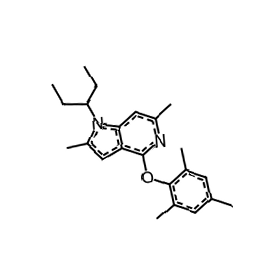 CCC(CC)n1c(C)cc2c(Oc3c(C)cc(C)cc3C)nc(C)cc21